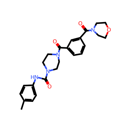 Cc1ccc(NC(=O)N2CCN(C(=O)c3cccc(C(=O)N4CCOCC4)c3)CC2)cc1